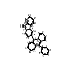 C1=CC2=C(c3ccccc3)c3ccccc3C(C3=CC4c5cccnc5NC4C=C3)C2C=C1